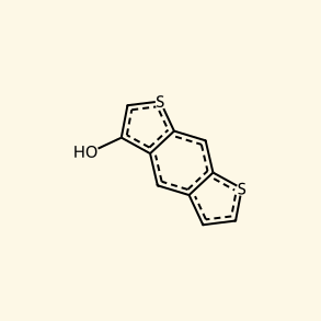 Oc1csc2cc3sccc3cc12